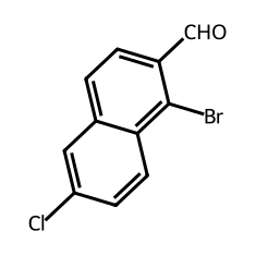 O=Cc1ccc2cc(Cl)ccc2c1Br